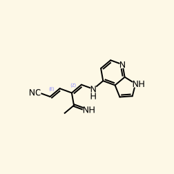 CC(=N)C(=C\Nc1ccnc2[nH]ccc12)/C=C/C#N